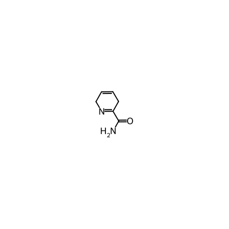 NC(=O)C1=NCC=CC1